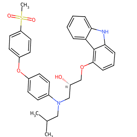 CC(C)CN(C[C@H](O)COc1cccc2[nH]c3ccccc3c12)c1ccc(Oc2ccc(S(C)(=O)=O)cc2)cc1